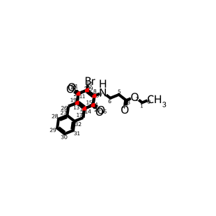 CCOC(=O)CCNC1=C(Br)C(=O)C2=C(C1=O)C1C3=C(C(=O)C=CC3=O)C2c2ccccc21